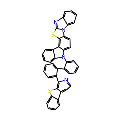 c1ccc(-c2nccc3c2sc2ccccc23)c(-c2ccccc2-n2c3ccccc3c3c4sc5nc6ccccc6n5c4ccc32)c1